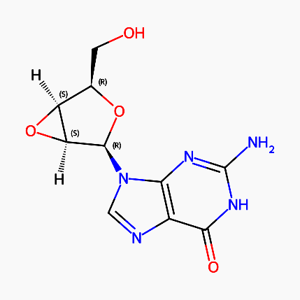 Nc1nc2c(ncn2[C@@H]2O[C@H](CO)[C@@H]3O[C@@H]32)c(=O)[nH]1